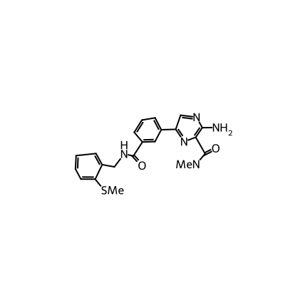 CNC(=O)c1nc(-c2cccc(C(=O)NCc3ccccc3SC)c2)cnc1N